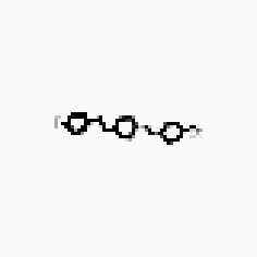 CC[C@H]1CC[C@H](CC[C@H]2CC[C@H](CCc3ccc(F)cc3)CC2)CC1